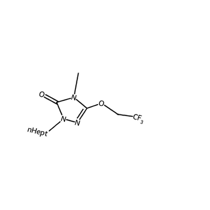 CCCCCCCn1nc(OCC(F)(F)F)n(C)c1=O